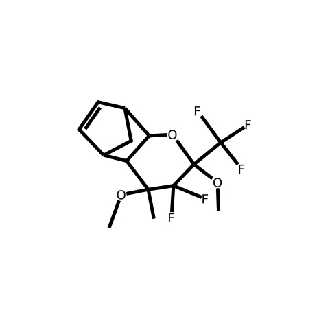 COC1(C)C2C3C=CC(C3)C2OC(OC)(C(F)(F)F)C1(F)F